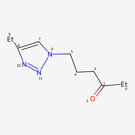 CCC(=O)CCCn1cc(CC)nn1